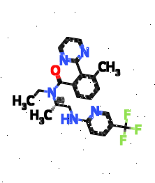 CCN(C(=O)c1cccc(C)c1-c1ncccn1)[C@@H](C)CNc1ccc(C(F)(F)F)cn1